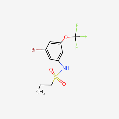 CCCS(=O)(=O)Nc1cc(Br)cc(OC(F)(F)F)c1